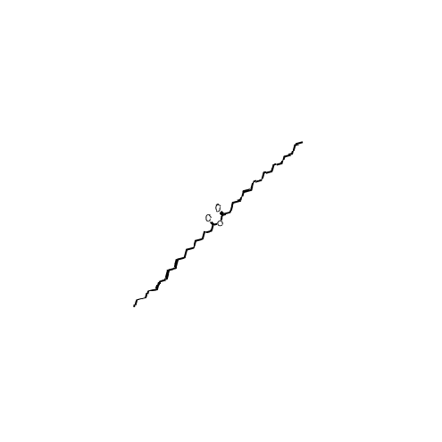 CCCCC=CC=CC=CCCCCCCCC(=O)OC(=O)CCCCCCCCCCCCCCC